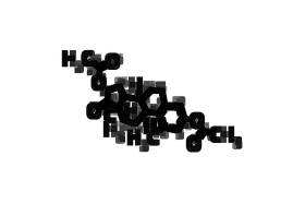 CC(=O)Oc1cc(C)c2c(c1)CC[C@@H]1[C@@H]2CC[C@]2(C)C(=O)[C@H](OC(C)=O)C[C@@H]12